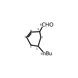 CCCCC1CC=CC(C=O)C1